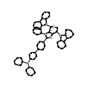 c1ccc(N(c2ccccc2)c2ccc(-c3ccc(-c4nc5c(-n6c7ccccc7c7ccccc76)ccc(-n6c7ccccc7c7ccccc76)c5n4-c4ccccc4)cc3)cc2)cc1